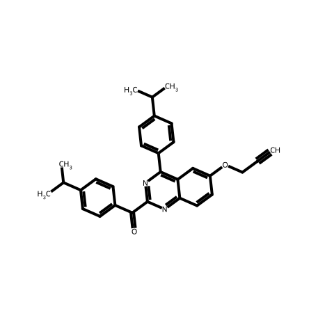 C#CCOc1ccc2nc(C(=O)c3ccc(C(C)C)cc3)nc(-c3ccc(C(C)C)cc3)c2c1